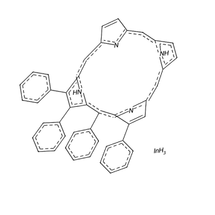 C1=Cc2cc3[nH]c(c(-c4ccccc4)c4nc(cc5ccc(cc1n2)[nH]5)C=C4c1ccccc1)c(-c1ccccc1)c3-c1ccccc1.[InH3]